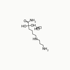 Cl.Cl.NCCCNCCCCC(O)(O)C(N)=O